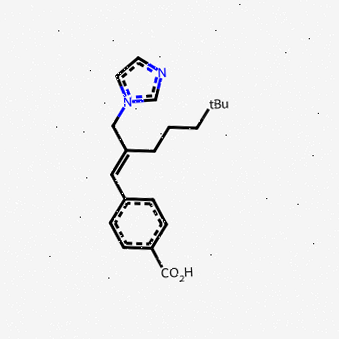 CC(C)(C)CCC/C(=C\c1ccc(C(=O)O)cc1)Cn1ccnc1